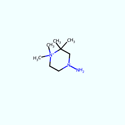 CC1(C)CN(N)CC[N+]1(C)C